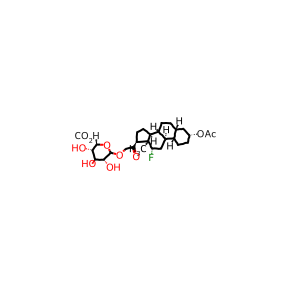 CC(=O)O[C@@H]1CC[C@H]2[C@H](CC[C@@H]3[C@@H]2C[C@H](F)[C@]2(C)[C@@H](C(=O)COC4O[C@H](C(=O)O)[C@@H](O)[C@H](O)[C@H]4O)CC[C@@H]32)C1